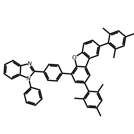 Cc1cc(C)c(-c2ccc3oc4c(-c5ccc(-c6nc7ccccc7n6-c6ccccc6)cc5)cc(-c5c(C)cc(C)cc5C)cc4c3c2)c(C)c1